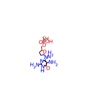 Nc1nc(N(N)[C@H]2CC[C@@H](COP(=O)(O)S)O2)c(N)c(=O)[nH]1